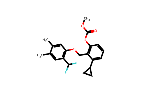 COC(=O)Oc1cccc(C2CC2)c1COc1cc(C)c(C)cc1C(F)F